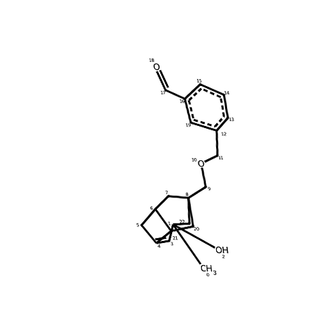 CC1(O)C=C2CC3CC(COCc4cccc(C=O)c4)(CC23)C1